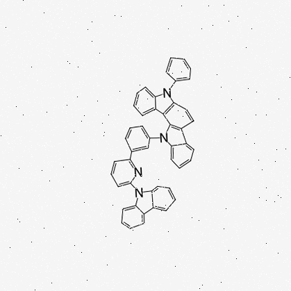 c1ccc(-n2c3ccccc3c3c2ccc2c4ccccc4n(-c4cccc(-c5cccc(-n6c7ccccc7c7ccccc76)n5)c4)c23)cc1